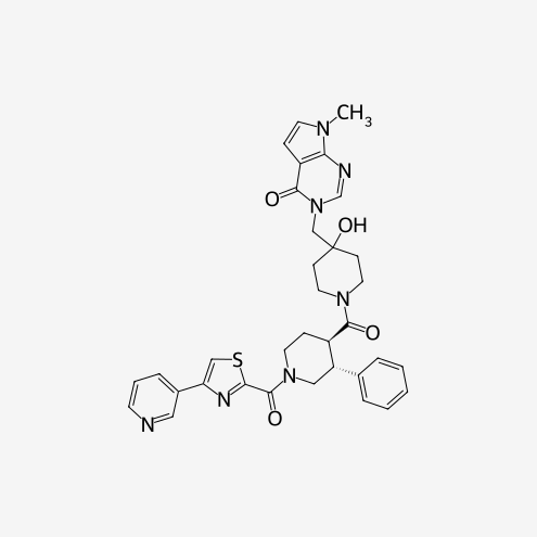 Cn1ccc2c(=O)n(CC3(O)CCN(C(=O)[C@@H]4CCN(C(=O)c5nc(-c6cccnc6)cs5)C[C@H]4c4ccccc4)CC3)cnc21